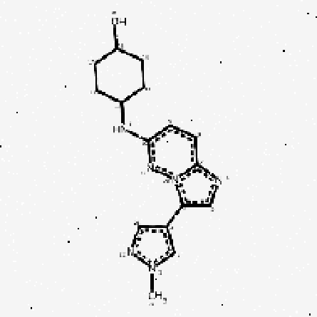 Cn1cc(-c2cnc3ccc(NC4CCC(O)CC4)nn23)cn1